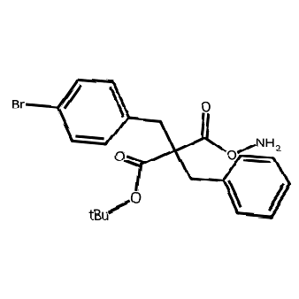 CC(C)(C)OC(=O)C(Cc1ccccc1)(Cc1ccc(Br)cc1)C(=O)ON